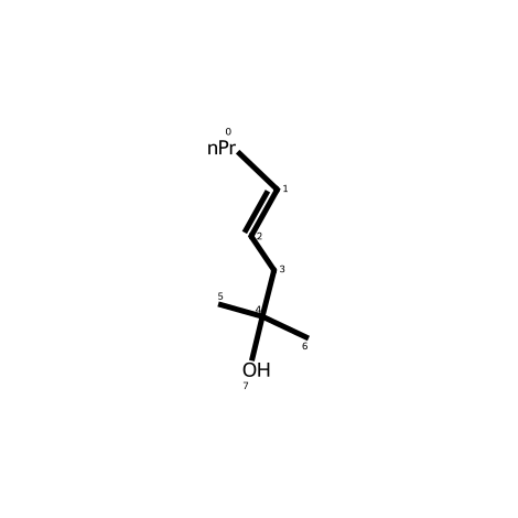 [CH2][CH]CC=CCC(C)(C)O